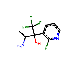 CC(N)C(O)(c1cccnc1F)C(F)(F)F